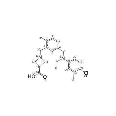 CCN(Cc1ccc(C)c(CN2CC(C(=O)O)C2)c1)c1ccc(Cl)c(C)c1